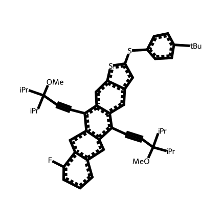 COC(C#Cc1c2cc3cc(Sc4ccc(C(C)(C)C)cc4)sc3cc2c(C#CC(OC)(C(C)C)C(C)C)c2cc3c(F)cccc3cc12)(C(C)C)C(C)C